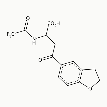 O=C(CC(NC(=O)C(F)(F)F)C(=O)O)c1ccc2c(c1)CCO2